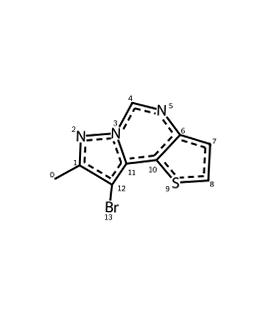 Cc1nn2cnc3ccsc3c2c1Br